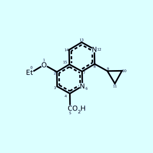 CCOc1cc(C(=O)O)nc2c(C3CC3)nccc12